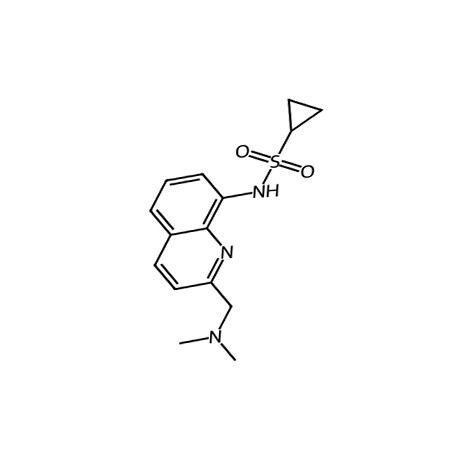 CN(C)Cc1ccc2cccc(NS(=O)(=O)C3CC3)c2n1